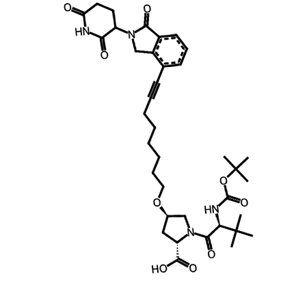 CC(C)(C)OC(=O)N[C@H](C(=O)N1C[C@H](OCCCCCCC#Cc2cccc3c2CN(C2CCC(=O)NC2=O)C3=O)C[C@H]1C(=O)O)C(C)(C)C